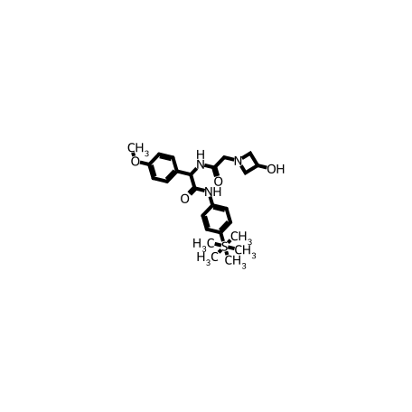 COc1ccc(C(NC(=O)CN2CC(O)C2)C(=O)Nc2ccc(S(C)(C)(C)(C)C)cc2)cc1